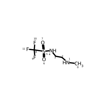 CNCCNS(=O)(=O)C(F)(F)F